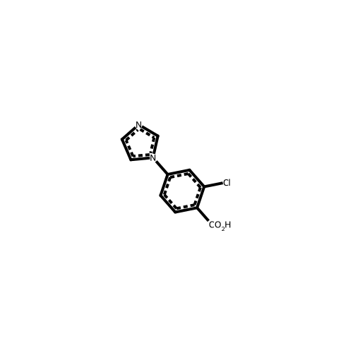 O=C(O)c1ccc(-n2ccnc2)cc1Cl